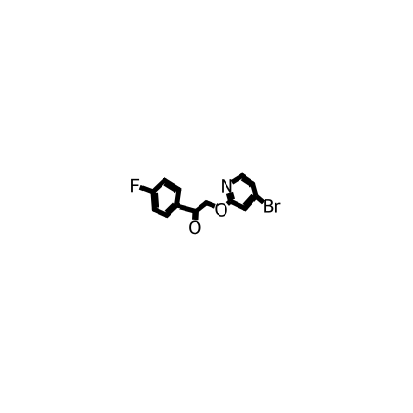 O=C(COc1cc(Br)ccn1)c1ccc(F)cc1